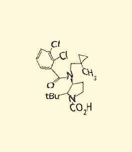 CC1(CN(C(=O)c2cccc(Cl)c2Cl)[C@H]2CCN(C(=O)O)C2C(C)(C)C)CC1